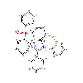 O=P(c1ccccc1)(c1ccccc1)c1ccc2c3c1nc(-c1ccccc1)n3-c1ccccc1S2